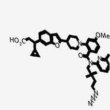 COc1ccc(C(=O)N(CC(C)(C)CCN=[N+]=[N-])c2cccc(C)n2)c(N2CCC(c3cc4ccc(C(CC(=O)O)C5CC5)cc4o3)CC2)c1